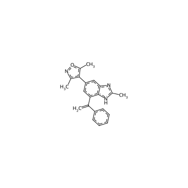 C=C(c1ccccc1)c1cc(-c2c(C)noc2C)cc2nc(C)[nH]c12